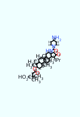 CC(C)C1C(=O)CC2(NC(=O)N3CCC(N)CC3)CC[C@]3(C)C(CCC4C3(C)CCC3C(C)(C)C(OC(=O)CC(C)(C)C(=O)O)CC[C@@]34C)C12